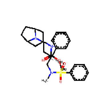 CN(C[C@@](C)(CCN1C2CCC1CC(NC(=O)OC(C)(C)C)C2)c1ccccc1)S(=O)(=O)c1ccccc1